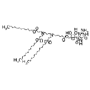 CCCCCCCCCCCCOC(=O)CCN(CCCCCC(=O)OC[C@@H]1O[C@H](n2c(=O)[nH]c3c(=O)[nH]c(N)nc32)C(O)C1O)CCCN(CCC(=O)OCCCCCCCCCCCC)CCC(=O)OCCCCCCCCCCCC